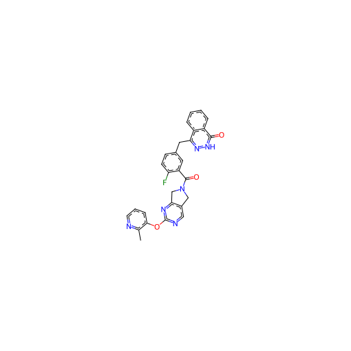 Cc1ncccc1Oc1ncc2c(n1)CN(C(=O)c1cc(Cc3n[nH]c(=O)c4ccccc34)ccc1F)C2